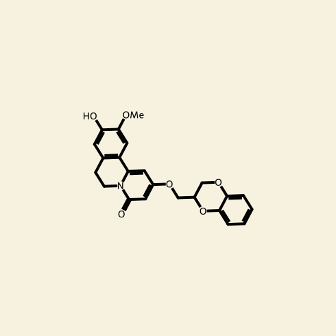 COc1cc2c(cc1O)CCn1c-2cc(OCC2COc3ccccc3O2)cc1=O